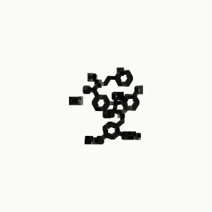 CCN(CCc1ccccn1)C(=O)c1ccc(Cl)c(C2(C)C(=O)N(Cc3ccc(OC)cc3OC)c3ccc(Cl)cc32)c1.Cl